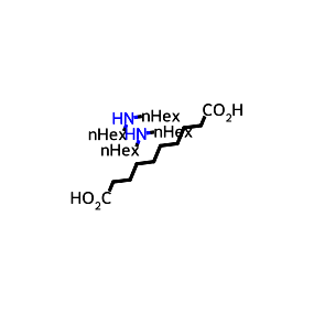 CCCCCCNCCCCCC.CCCCCCNCCCCCC.O=C(O)CCCCCCCCC(=O)O